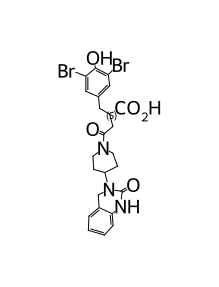 O=C(O)[C@H](CC(=O)N1CCC(N2Cc3ccccc3NC2=O)CC1)Cc1cc(Br)c(O)c(Br)c1